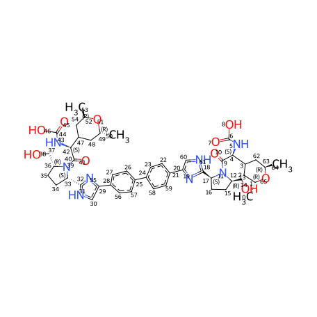 C[C@@H]1CC([C@H](NC(=O)O)C(=O)N2[C@@H](CO)CC[C@H]2c2nc(-c3ccc(-c4ccc(-c5c[nH]c([C@@H]6CC[C@H](CO)N6C(=O)[C@@H](NC(=O)O)C6C[C@@H](C)O[C@H](C)C6)n5)cc4)cc3)c[nH]2)C[C@@H](C)O1